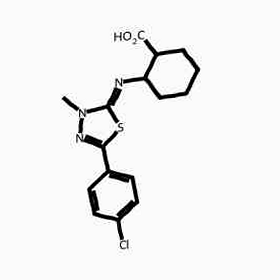 Cn1nc(-c2ccc(Cl)cc2)sc1=NC1CCCCC1C(=O)O